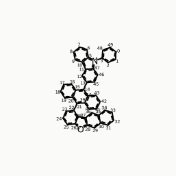 c1ccc(-n2c3ccccc3c3cc(-c4c5ccccc5c(-c5cccc6oc7cc8ccccc8cc7c56)c5ccccc45)ccc32)cc1